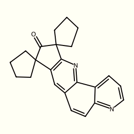 O=C1C2(CCCC2)c2cc3ccc4ncccc4c3nc2C12CCCC2